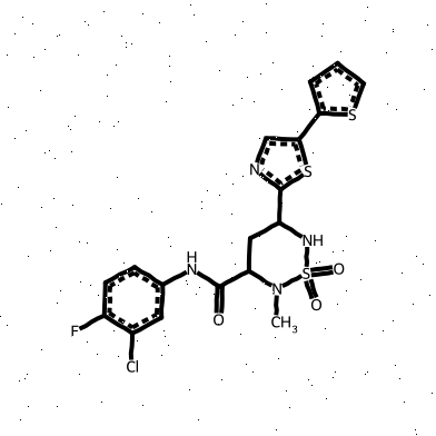 CN1C(C(=O)Nc2ccc(F)c(Cl)c2)CC(c2ncc(-c3cccs3)s2)NS1(=O)=O